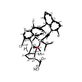 CC(C)[Si](C#Cc1c(F)ccc2cccc(-c3ncc4c(N5C[C@@H]6[C@H]5CCN6C(=O)O)c(Cl)cnc4c3F)c12)(C(C)C)C(C)C